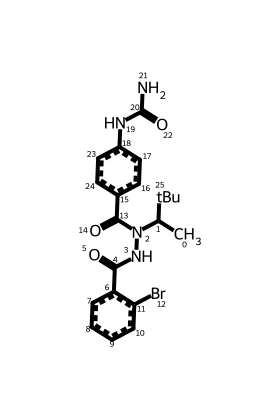 CC(N(NC(=O)c1ccccc1Br)C(=O)c1ccc(NC(N)=O)cc1)C(C)(C)C